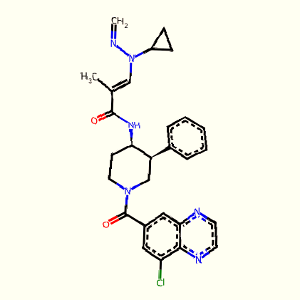 C=NN(/C=C(\C)C(=O)N[C@@H]1CCN(C(=O)c2cc(Cl)c3nccnc3c2)C[C@@H]1c1ccccc1)C1CC1